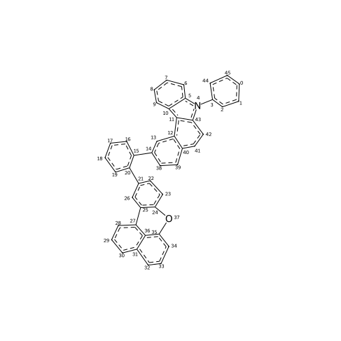 c1ccc(-n2c3ccccc3c3c4cc(-c5ccccc5-c5ccc6c(c5)-c5cccc7cccc(c57)O6)ccc4ccc32)cc1